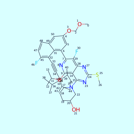 COCOc1cc(-c2nc(OC(C)C)c3c(N4CCCC(O)C4)nc(SC)nc3c2F)c2c(C#C[Si](C(C)C)(C(C)C)C(C)C)c(F)ccc2c1